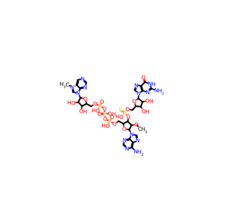 COC1C(OP(O)(=S)OCC2OC(n3cnc4c(=O)[nH]c(N)nc43)C(O)C2O)C(COP(=O)(O)OP(=O)(O)OP(=O)(O)OCC2OC(n3c[n+](C)c4cncnc43)C(O)C2O)OC1n1cnc2c(N)ncnc21